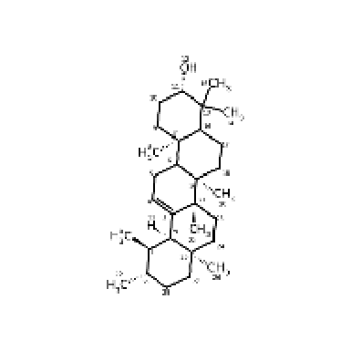 C[C@H]1[C@H]2C3=CCC4[C@@]5(C)CC[C@H](O)C(C)(C)C5CC[C@@]4(C)[C@]3(C)CC[C@@]2(C)CC[C@@H]1C